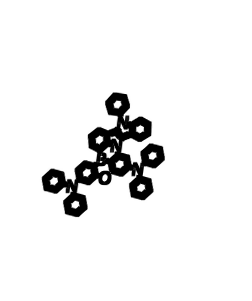 c1ccc(N(c2ccccc2)c2ccc3c(c2)Oc2cc(N(c4ccccc4)c4ccccc4)cc4c2B3c2cccc3c2n-4c2c4ccccc4n(-c4ccccc4)c32)cc1